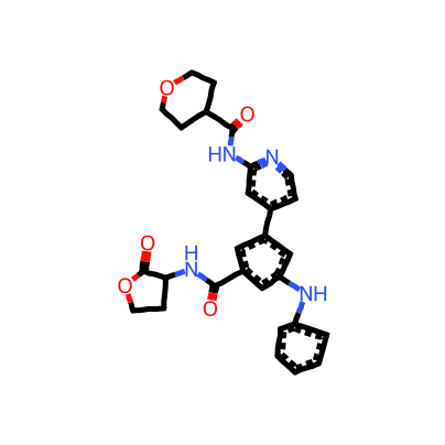 O=C(NC1CCOC1=O)c1cc(Nc2ccccc2)cc(-c2ccnc(NC(=O)C3CCOCC3)c2)c1